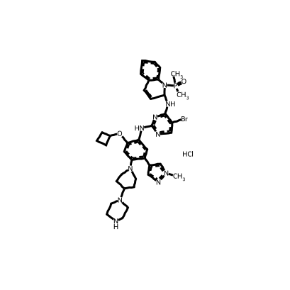 Cl.Cn1cc(-c2cc(Nc3ncc(Br)c(NC4C=Cc5ccccc5N4P(C)(C)=O)n3)c(OC3CCC3)cc2N2CCC(N3CCNCC3)CC2)cn1